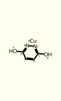 Oc1ccc(O)nn1.[Cu]